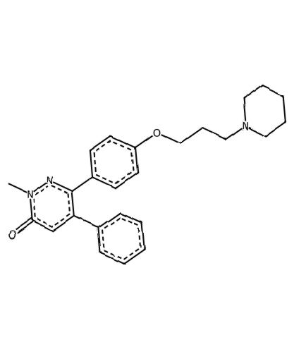 Cn1nc(-c2ccc(OCCCN3CCCCC3)cc2)c(-c2ccccc2)cc1=O